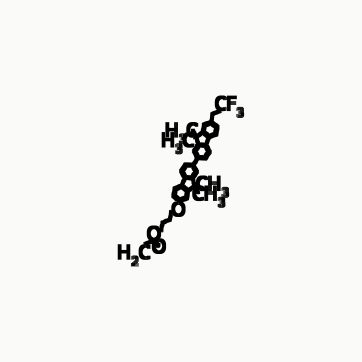 C=CC(=O)OCCCCOc1ccc2c(c1)C(C)(C)c1cc(-c3ccc4c(c3)C(C)(C)c3cc(CCC(F)(F)F)ccc3-4)ccc1-2